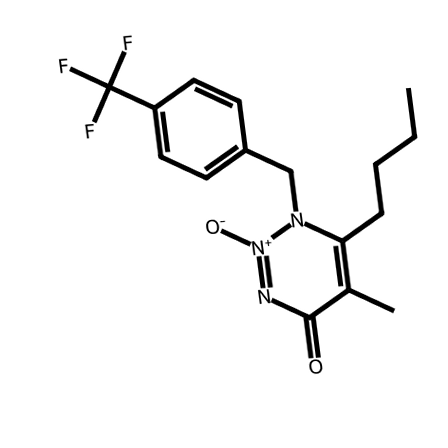 CCCCc1c(C)c(=O)n[n+]([O-])n1Cc1ccc(C(F)(F)F)cc1